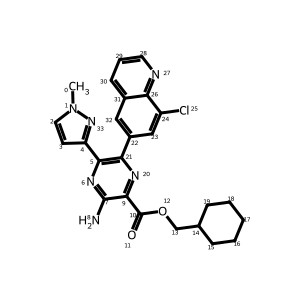 Cn1ccc(-c2nc(N)c(C(=O)OCC3CCCCC3)nc2-c2cc(Cl)c3ncccc3c2)n1